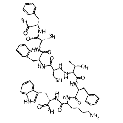 [2H]C(=O)[C@H](Cc1ccccc1)NC(=O)[C@H](CS)NC(=O)[C@H](Cc1ccccc1)NC(=O)[C@H](CS)NN[C@H](C(=O)N[C@@H](Cc1ccccc1)C(=O)N[C@@H](CCCCN)C(=O)N[C@@H](Cc1c[nH]c2ccccc12)C([2H])=O)[C@@H](C)O